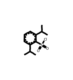 CC(C)c1cccc(C(C)C)c1S(=O)(=O)Cl